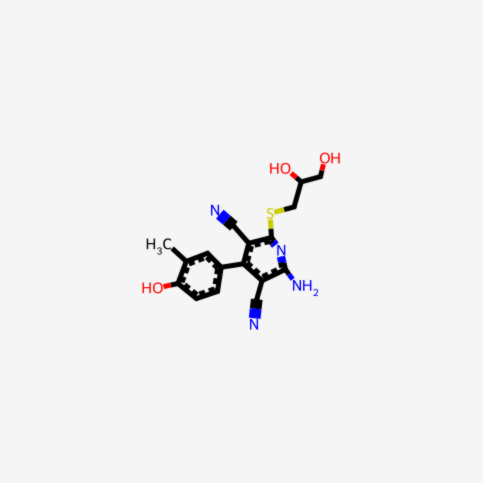 Cc1cc(-c2c(C#N)c(N)nc(SCC(O)CO)c2C#N)ccc1O